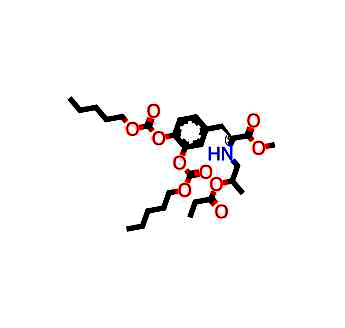 CCCCCOC(=O)Oc1ccc(C[C@H](NCC(C)OC(=O)CC)C(=O)OC)cc1OC(=O)OCCCCC